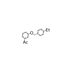 CCc1ccc(COc2cccc(C(C)=O)c2)cc1